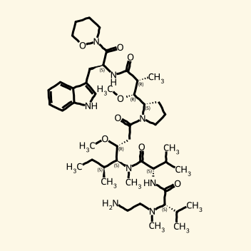 CC[C@H](C)[C@@H]([C@@H](CC(=O)N1CCC[C@H]1[C@H](OC)[C@@H](C)C(=O)N[C@@H](Cc1c[nH]c2ccccc12)C(=O)N1CCCCO1)OC)N(C)C(=O)[C@@H](NC(=O)[C@H](C(C)C)N(C)CCN)C(C)C